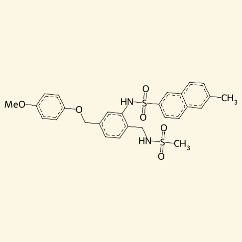 COc1ccc(OCc2ccc(CNS(C)(=O)=O)c(NS(=O)(=O)c3ccc4cc(C)ccc4c3)c2)cc1